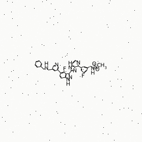 CS(=O)(=O)NCc1cc(F)cc(-c2nccc3[nH]c(-c4n[nH]c5ccc(-c6cncc(CNCc7ccccc7)c6)c(F)c45)nc23)c1